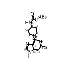 CC(C)(C)OC(=O)NC1CCN(c2nc(Cl)cc3[nH]cnc23)CC1